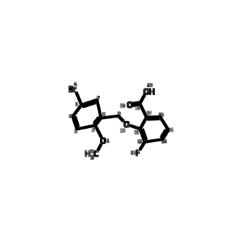 COc1ccc(Br)cc1COc1c(F)cccc1C(=O)O